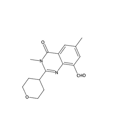 Cc1cc(C=O)c2nc(C3CCOCC3)n(C)c(=O)c2c1